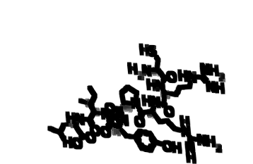 CC[C@H](C)[C@H](NC(=O)[C@H](Cc1ccc(O)cc1)NC(=O)[C@@H]1CCCN1C(=O)[C@H](CCCNC(=N)N)NC(=O)[C@H](CCCNC(=N)N)NC(=O)[C@@H](N)CS)C(=O)N[C@@H](CC(C)C)C(=O)O